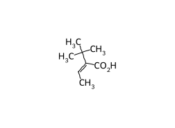 C/C=C(\C(=O)O)C(C)(C)C